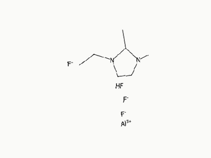 CCN1CCN(C)C1C.F.[Al+3].[F-].[F-].[F-]